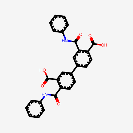 O=C(O)c1cc(-c2ccc(C(=O)O)c(C(=O)Nc3ccccc3)c2)ccc1C(=O)Nc1ccccc1